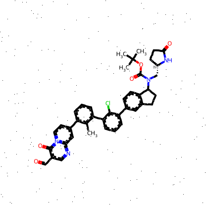 Cc1c(-c2ccn3c(=O)c(C=O)cnc3c2)cccc1-c1cccc(-c2ccc3c(c2)CCC3N(C[C@@H]2CCC(=O)N2)C(=O)OC(C)(C)C)c1Cl